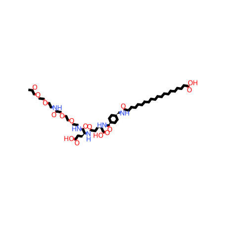 CC(=O)COCCOCCNC(=O)COCCOCCNC(=O)[C@H](CCC(=O)O)NC(=O)CC[C@H](NC(=O)[C@H]1CC[C@H](CNC(=O)CCCCCCCCCCCCCCCCCCC(=O)O)CC1)C(=O)O